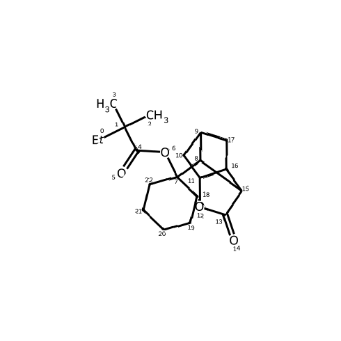 CCC(C)(C)C(=O)OC1(C2C3CC4OC(=O)C2C4C3)CCCCC1